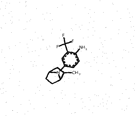 CC1CC2CCC1N2c1ccc(N)c(C(F)(F)F)c1